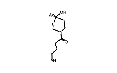 CC(=O)C1(O)CCN(C(=O)CCCS)CC1